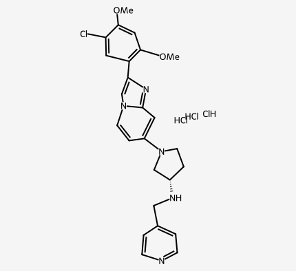 COc1cc(OC)c(-c2cn3ccc(N4CC[C@H](NCc5ccncc5)C4)cc3n2)cc1Cl.Cl.Cl.Cl